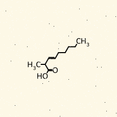 CCCCC/C=C/C(C)C(=O)O